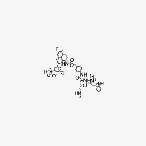 C=CNCCCC[C@H](NC(=O)[C@@H](N)Cc1c[nH]c2ccccc12)C(=O)Nc1ccc(COC(=O)N[C@H]2CCc3c(C)c(F)cc4nc5c(c2c34)Cn2c-5cc3c(c2=O)COC(=O)[C@]3(O)CC)cc1